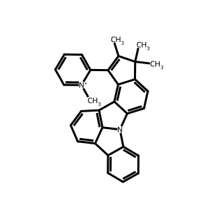 CC1=C(c2cccc[n+]2C)c2c(ccc3c2c2cccc4c5ccccc5n3c42)C1(C)C